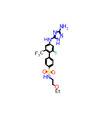 CCOCCNS(=O)(=O)c1ccc(-c2c(F)cc(Nc3nc(N)n[nH]3)cc2C(F)(F)F)cc1